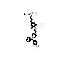 Cc1cc(CCCCN(N)C(=O)O)cc(C(=O)O)c1OCCN1CCN([C@H](c2ccccc2)c2ccc(Cl)cc2)CC1